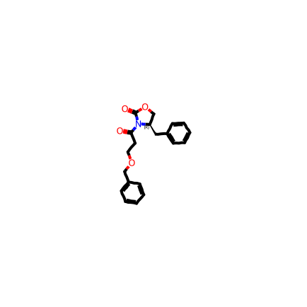 O=C(CCOCc1ccccc1)N1C(=O)OC[C@H]1Cc1ccccc1